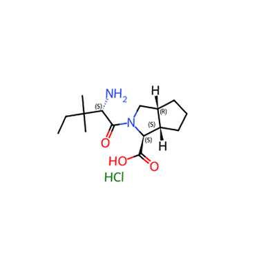 CCC(C)(C)[C@H](N)C(=O)N1C[C@@H]2CCC[C@@H]2[C@H]1C(=O)O.Cl